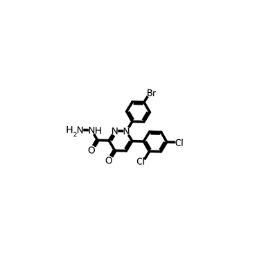 NNC(=O)c1nn(-c2ccc(Br)cc2)c(-c2ccc(Cl)cc2Cl)cc1=O